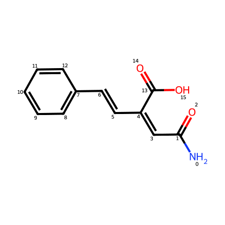 NC(=O)/C=C(/C=C/c1ccccc1)C(=O)O